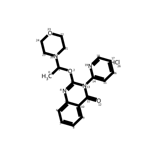 CC(Oc1nc2ccccc2c(=O)n1-c1ccccn1)N1CCOCC1.Cl